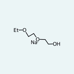 CCOCCOCCO.[Na]